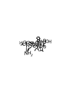 CC[C@H](C)[C@H](NC(=O)[C@H](CC(C)C)NC(=O)[C@@H](N)CC(=O)O)C(=O)N[C@@H](Cc1c[nH]c2ccccc12)C(=O)N[C@@H](CCCCN)C(=O)N[C@@H](CC(C)C)C(=O)O